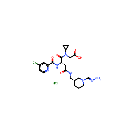 Cl.NN=CN1CCC[C@@H](CNC(=O)C[C@H](NC(=O)c2cc(Cl)ccn2)C(=O)N(CC(=O)O)C2CC2)C1